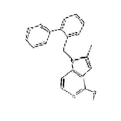 COc1nccc2c1cc(C)n2Cc1ccccc1-c1ccccc1